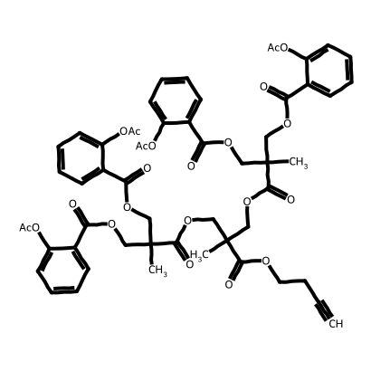 C#CCCOC(=O)C(C)(COC(=O)C(C)(COC(=O)c1ccccc1OC(C)=O)COC(=O)c1ccccc1OC(C)=O)COC(=O)C(C)(COC(=O)c1ccccc1OC(C)=O)COC(=O)c1ccccc1OC(C)=O